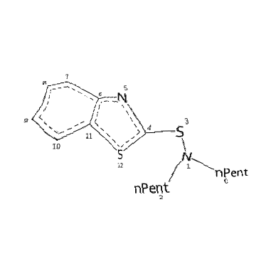 CCCCCN(CCCCC)Sc1nc2ccccc2s1